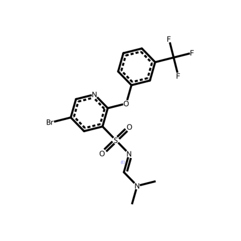 CN(C)/C=N/S(=O)(=O)c1cc(Br)cnc1Oc1cccc(C(F)(F)F)c1